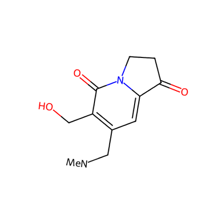 CNCc1cc2n(c(=O)c1CO)CCC2=O